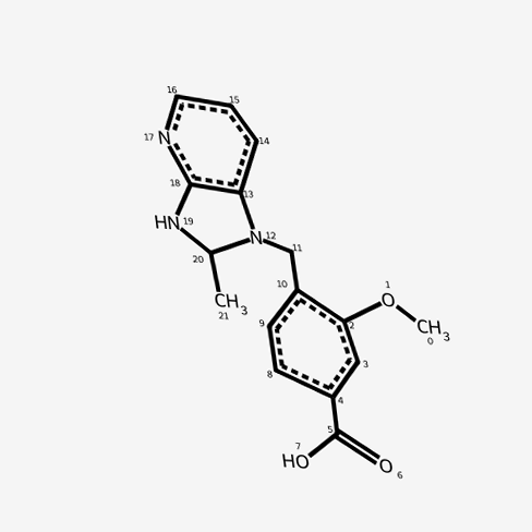 COc1cc(C(=O)O)ccc1CN1c2cccnc2NC1C